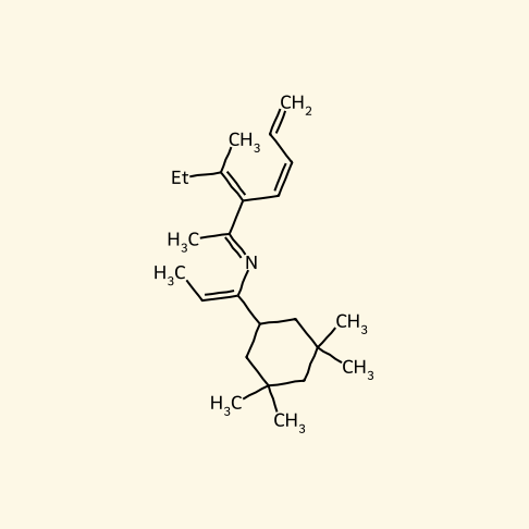 C=C\C=C/C(=C(\C)CC)C(/C)=N/C(=C\C)C1CC(C)(C)CC(C)(C)C1